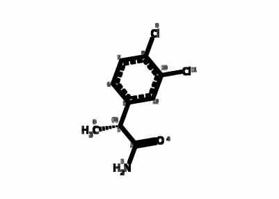 C[C@@H](C(N)=O)c1ccc(Cl)c(Cl)c1